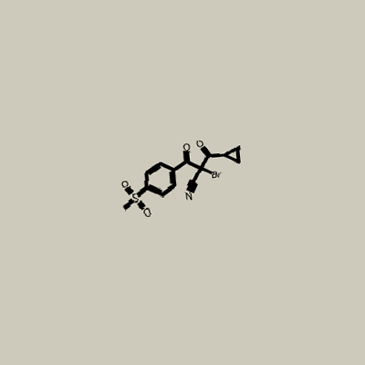 CS(=O)(=O)c1ccc(C(=O)C(Br)(C#N)C(=O)C2CC2)cc1